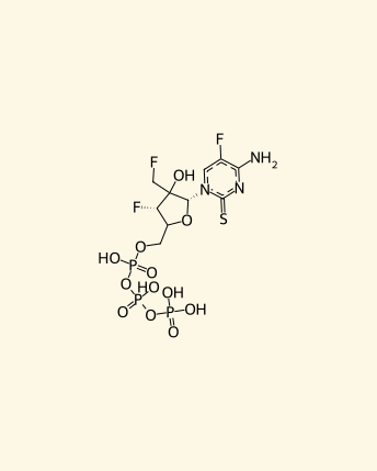 Nc1nc(=S)n([C@@H]2OC(COP(=O)(O)OP(=O)(O)OP(=O)(O)O)[C@H](F)C2(O)CF)cc1F